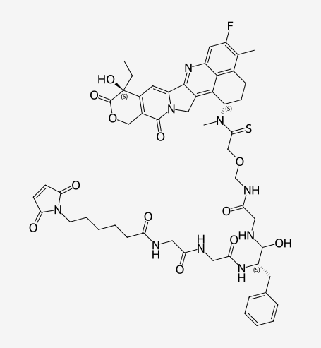 CC[C@@]1(O)C(=O)OCc2c1cc1n(c2=O)Cc2c-1nc1cc(F)c(C)c3c1c2[C@@H](N(C)C(=S)COCNC(=O)CNC(O)[C@H](Cc1ccccc1)NC(=O)CNC(=O)CNC(=O)CCCCCN1C(=O)C=CC1=O)CC3